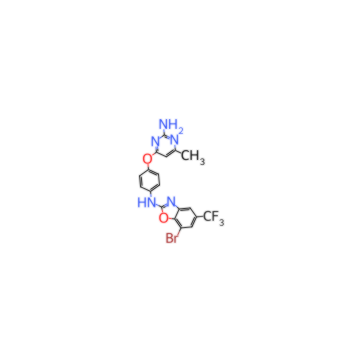 Cc1cc(Oc2ccc(Nc3nc4cc(C(F)(F)F)cc(Br)c4o3)cc2)nc(N)n1